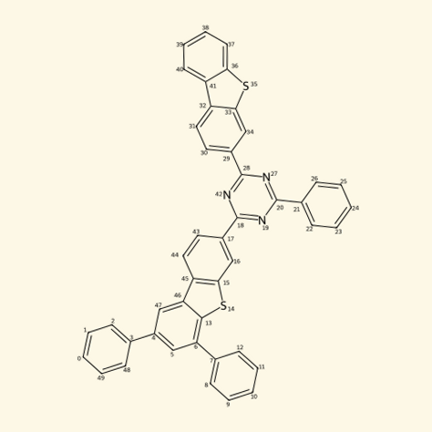 c1ccc(-c2cc(-c3ccccc3)c3sc4cc(-c5nc(-c6ccccc6)nc(-c6ccc7c(c6)sc6ccccc67)n5)ccc4c3c2)cc1